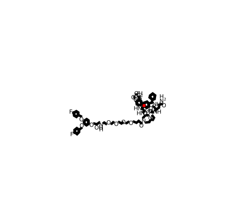 NC(=O)CCC(NC(=O)[C@@H]1CCC2CCN(C(=O)CCCOCCOCCOCCOCCNC[C@@H](O)COc3ccc(OCc4ccc(F)cc4)c(OCc4ccc(F)cc4)c3)C[C@H](NC(=O)c3cc4cc(C(F)(F)P(=O)(O)O)ccc4[nH]3)C(=O)N21)C(=O)NC(c1ccccc1)c1ccccc1